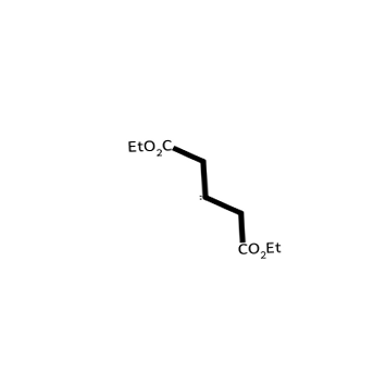 CCOC(=O)C[C]CC(=O)OCC